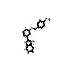 N#Cc1ccc(CNc2cccc(-c3nc4ccccc4[nH]3)c2)cc1